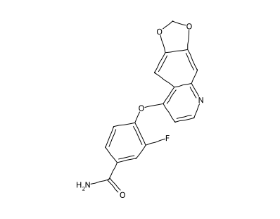 NC(=O)c1ccc(Oc2ccnc3cc4c(cc23)OCO4)c(F)c1